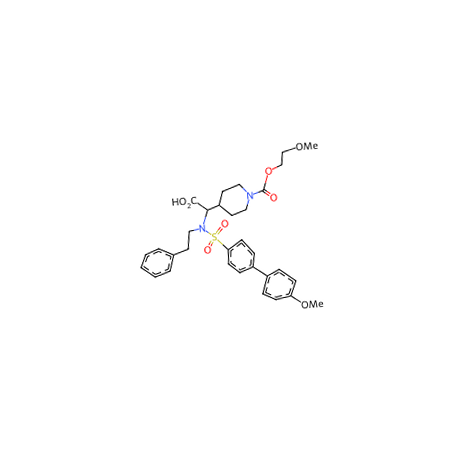 COCCOC(=O)N1CCC(C(C(=O)O)N(CCc2ccccc2)S(=O)(=O)c2ccc(-c3ccc(OC)cc3)cc2)CC1